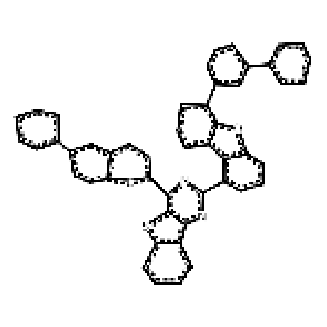 c1ccc(-c2cccc(-c3cccc4c3oc3cccc(-c5nc(-c6ccc7cc(-c8ccccc8)ccc7c6)c6sc7ccccc7c6n5)c34)c2)cc1